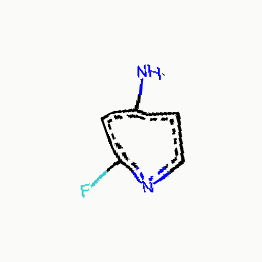 [NH]c1ccnc(F)c1